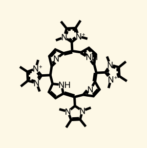 CC1=C(C)N(C)C(/C2=C3\C=CC(N3)C(c3n(C)c(C)c(C)[n+]3C)C3=N/C(=C(/c4n(C)c(C)c(C)[n+]4C)c4ccc([nH]4)/C(c4n(C)c(C)c(C)[n+]4C)=C4/C=CC2=N4)C=C3)N1C